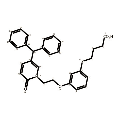 O=C(O)CCCSc1cccc(OCCn2cc(C(c3ccccc3)c3ccccc3)ccc2=O)c1